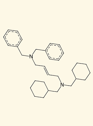 C(=C\CN(CC1CCCCC1)CC1CCCCC1)/CN(Cc1ccccc1)Cc1ccccc1